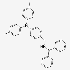 Cc1ccc(N(c2ccc(C)cc2)c2ccc(CNN(c3ccccc3)c3ccccc3)cc2)cc1